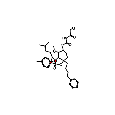 COC1C(OC(=O)NC(=O)CCl)CCC(CSCCc2ccccc2)(OS(=O)(=O)c2ccc(C)cc2)C1C1(C)OC1CC=C(C)C